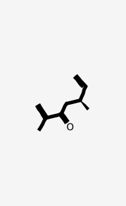 C=C[C@@H](C)CC(=O)C(=C)C